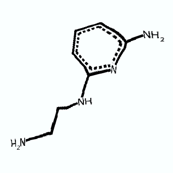 NCCNc1cccc(N)n1